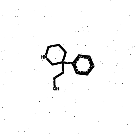 OCCC1(c2ccccc2)CCCNC1